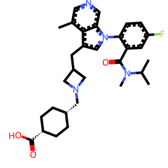 Cc1cncc2c1c(CC1CN(C[C@H]3CC[C@@H](C(=O)O)CC3)C1)cn2-c1ccc(F)cc1C(=O)N(C)C(C)C